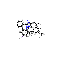 CC(C)c1cc(C(C)C)c(-c2cnc3c4ccccc4c4cc(I)ccc4n23)c(C(C)C)c1